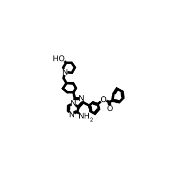 Nc1nccn2c(C3CCC(CN4CCCC(O)C4)CC3)nc(-c3cccc(OC(=O)c4ccccc4)c3)c12